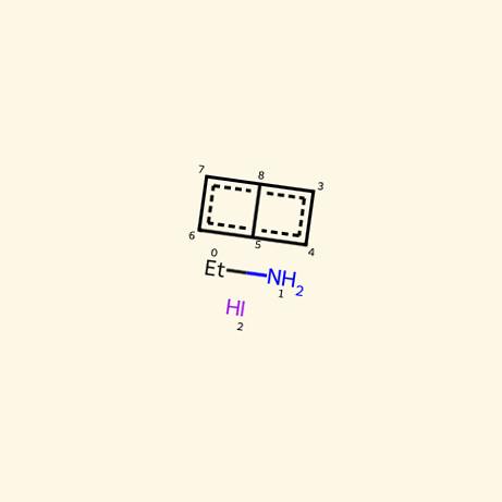 CCN.I.c1cc2ccc1-2